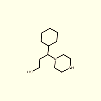 OCCC(C1CCCCC1)N1CCNCC1